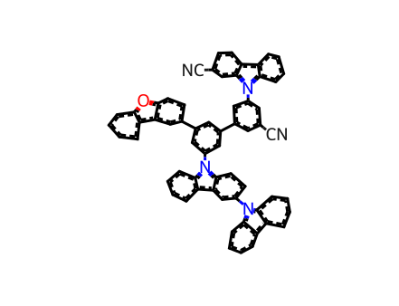 N#Cc1cc(-c2cc(-c3ccc4oc5ccccc5c4c3)cc(-n3c4ccccc4c4cc(-n5c6ccccc6c6ccccc65)ccc43)c2)cc(-n2c3ccccc3c3ccc(C#N)cc32)c1